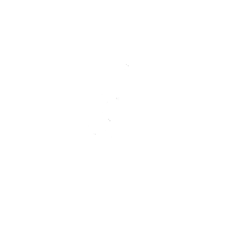 C=C1OCCn2c1nc(C(=O)NCc1ccc(F)cc1N)c(O)c2=O